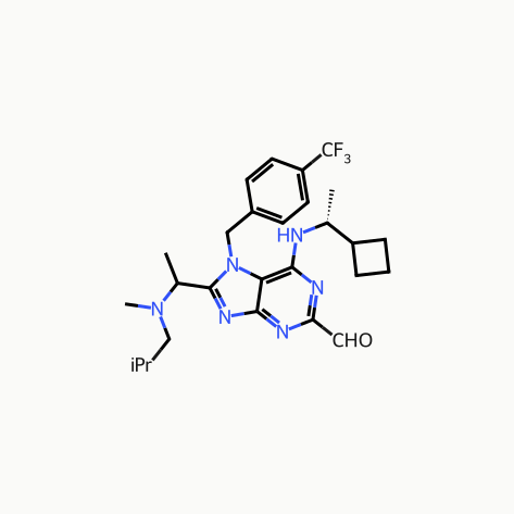 CC(C)CN(C)C(C)c1nc2nc(C=O)nc(N[C@H](C)C3CCC3)c2n1Cc1ccc(C(F)(F)F)cc1